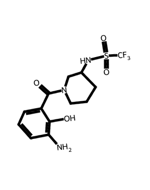 Nc1cccc(C(=O)N2CCCC(NS(=O)(=O)C(F)(F)F)C2)c1O